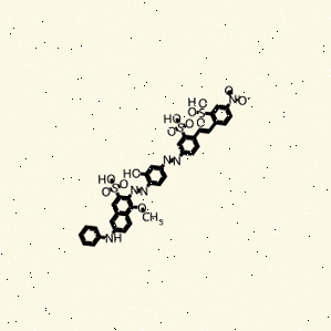 COc1c(N=Nc2ccc(N=Nc3ccc(C=Cc4ccc([N+](=O)[O-])cc4S(=O)(=O)O)c(S(=O)(=O)O)c3)cc2O)c(S(=O)(=O)O)cc2cc(Nc3ccccc3)ccc12